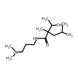 CC(C)CC(C)(C(=O)NCCCN(C)C)C(C)C